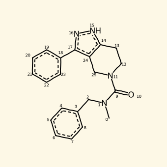 CN(Cc1ccccc1)C(=O)N1CCc2[nH]nc(-c3ccccc3)c2C1